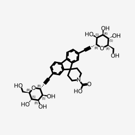 O=C(O)N1CCC2(CC1)c1cc(C#C[C@H]3O[C@H](CO)[C@@H](O)[C@H](O)[C@@H]3O)ccc1-c1ccc(C#C[C@H]3O[C@H](CO)[C@@H](O)[C@H](O)[C@@H]3O)cc12